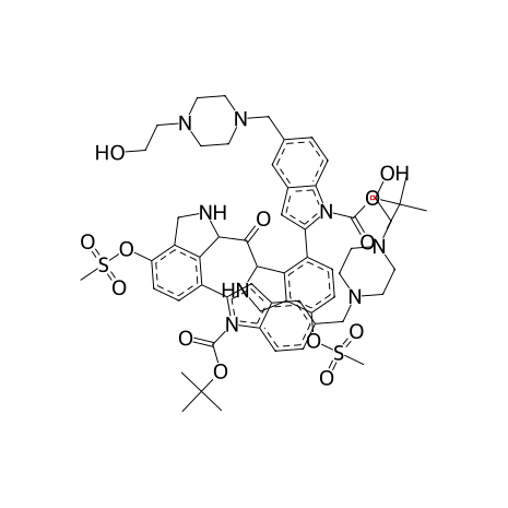 CC(C)(C)OC(=O)n1c(-c2ccc(OS(C)(=O)=O)c3c2C(C(=O)C2NCc4c(OS(C)(=O)=O)ccc(-c5cc6cc(CN7CCN(CCO)CC7)ccc6n5C(=O)OC(C)(C)C)c42)NC3)cc2cc(CN3CCN(CCO)CC3)ccc21